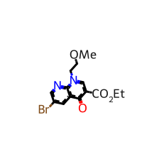 CCOC(=O)c1cn(CCOC)c2ncc(Br)cc2c1=O